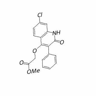 COC(=O)COc1c(-c2ccccc2)c(=O)[nH]c2cc(Cl)ccc12